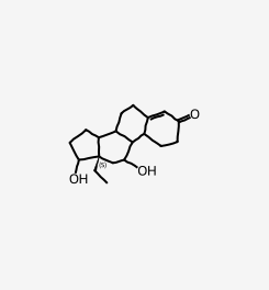 CC[C@]12CC(O)C3C4CCC(=O)C=C4CCC3C1CCC2O